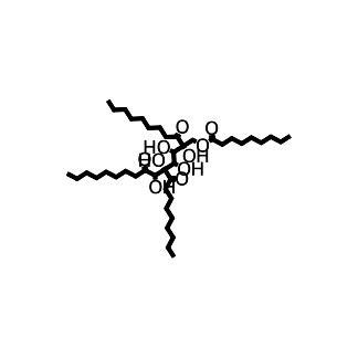 CCCCCCCCC(=O)OCC(O)(C(=O)CCCCCCCC)C(O)C(O)C(O)(C(=O)CCCCCCCC)C(O)C(=O)CCCCCCCC